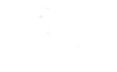 CC(C)(C)Nc1nc(-c2ccc(O)cc2O)cs1